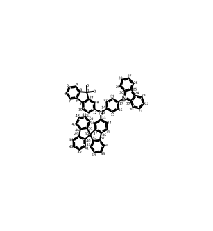 CC1(C)c2ccccc2-c2ccc(N(c3ccc(-n4c5ccccc5c5ccccc54)cc3)c3ccc4c(c3)C3(c5ccccc5-c5ccccc53)c3ccccc3-4)cc21